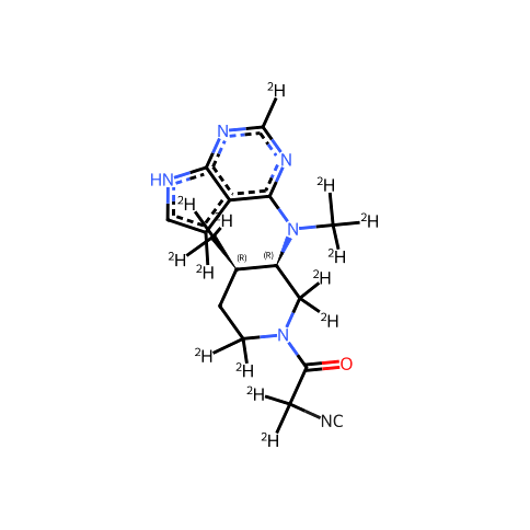 [2H]c1nc(N([C@@H]2[C@H](C([2H])([2H])[2H])CC([2H])([2H])N(C(=O)C([2H])([2H])[N+]#[C-])C2([2H])[2H])C([2H])([2H])[2H])c2c([2H])c[nH]c2n1